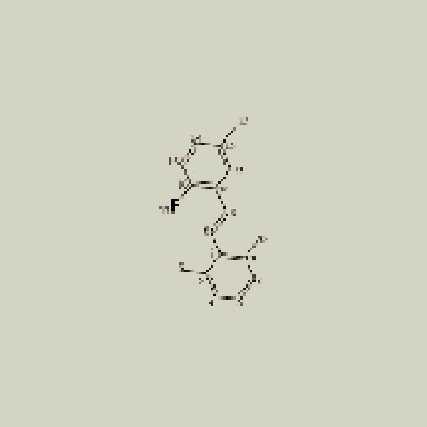 Cc1cccc(C)c1C=Cc1cc(I)ccc1F